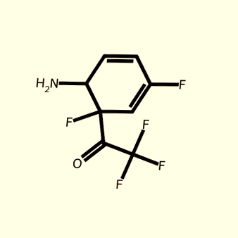 NC1C=CC(F)=CC1(F)C(=O)C(F)(F)F